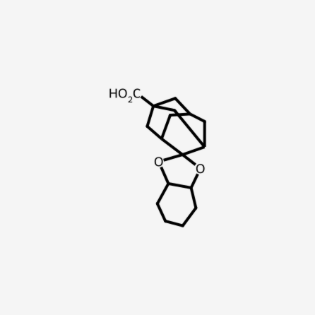 O=C(O)C12CC3CC(C1)C1(OC4CCCCC4O1)C(C3)C2